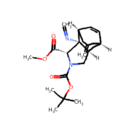 C=N[C@]12[C@H](CN(C(=O)OC(C)(C)C)[C@@H]1C(=O)OC)[C@@H]1C=C[C@H]2CC1=C